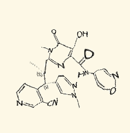 C[C@H](c1nc(C(=O)Nc2cnoc2)c(O)c(=O)n1C)[C@H](c1cnn(C)c1)c1ccncc1C#N